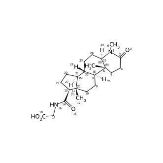 CN1C(=O)CC[C@]2(C)[C@H]3CC[C@]4(C)[C@@H](C(=O)NCC(=O)O)CC[C@H]4[C@@H]3CC[C@@H]12